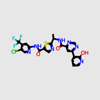 CC(NC(=O)c1cc(-c2cccnc2O)ncn1)c1ncc(C(=O)Nc2cc(C(F)(F)F)c(Cl)cn2)s1